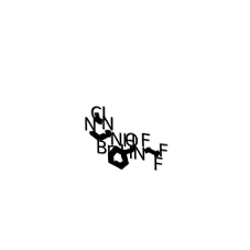 O=C(NC(F)C(F)F)c1ccccc1Nc1nc(Cl)ncc1Br